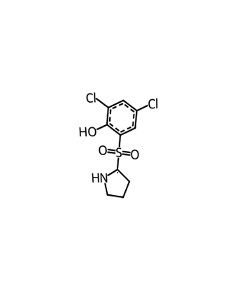 O=S(=O)([C]1CCCN1)c1cc(Cl)cc(Cl)c1O